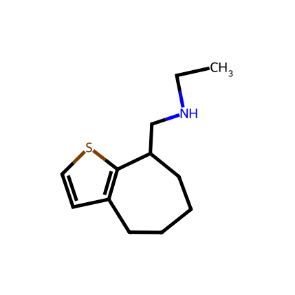 CCNCC1CCCCc2ccsc21